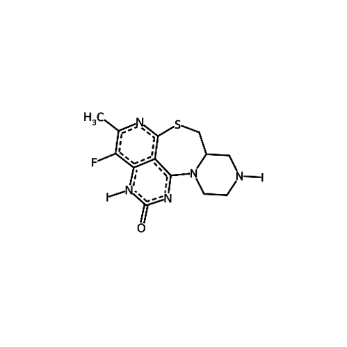 Cc1nc2c3c(nc(=O)n(I)c3c1F)N1CCN(I)CC1CS2